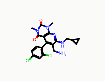 Cn1c(=O)c2c(-c3ccc(Cl)cc3Cl)c(CN)c(NCC3CC3)nc2n(C)c1=O